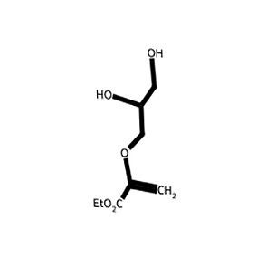 C=C(OCC(O)CO)C(=O)OCC